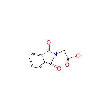 [O]C(=O)CN1C(=O)c2ccccc2C1=O